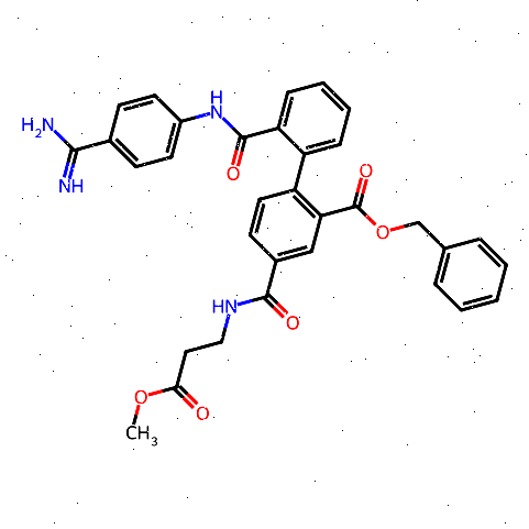 COC(=O)CCNC(=O)c1ccc(-c2ccccc2C(=O)Nc2ccc(C(=N)N)cc2)c(C(=O)OCc2ccccc2)c1